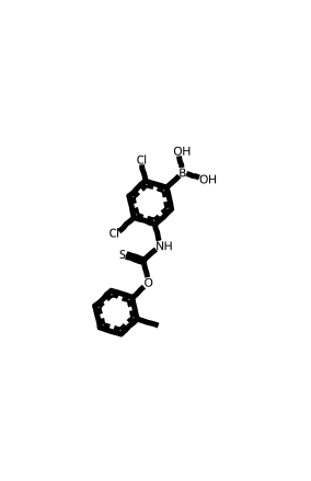 Cc1ccccc1OC(=S)Nc1cc(B(O)O)c(Cl)cc1Cl